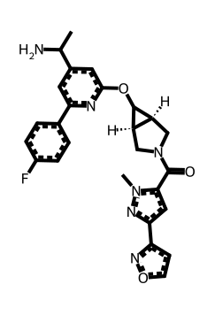 CC(N)c1cc(OC2[C@H]3CN(C(=O)c4cc(-c5ccon5)nn4C)C[C@@H]23)nc(-c2ccc(F)cc2)c1